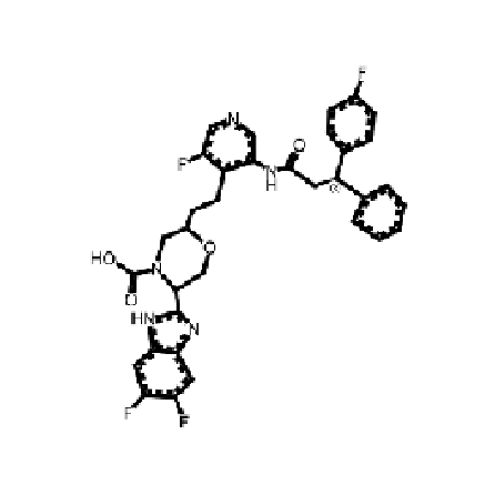 O=C(C[C@H](c1ccccc1)c1ccc(F)cc1)Nc1cncc(F)c1CCC1CN(C(=O)O)C(c2nc3cc(F)c(F)cc3[nH]2)CO1